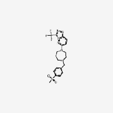 CS(=O)(=O)c1ccc(CN2CCCN(c3ccc4nnc(C(F)(F)F)n4n3)CC2)cc1